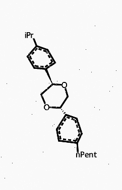 CCCCCc1ccc([C@H]2CO[C@H](c3ccc(C(C)C)cc3)CO2)cc1